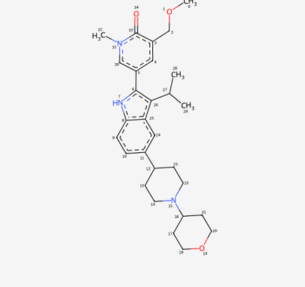 COCc1cc(-c2[nH]c3ccc(C4CCN(C5CCOCC5)CC4)cc3c2C(C)C)cn(C)c1=O